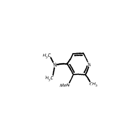 CNc1c(N(C)C)ccnc1C